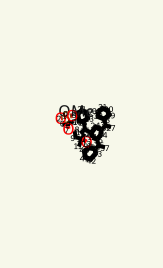 COS(=O)(=O)C(C)(C)OCCC(C)(C)Oc1c(C(C)c2ccccc2)cc(C(C)c2ccccc2)cc1C(C)c1ccccc1